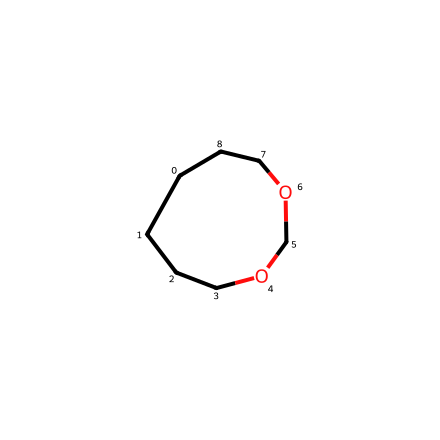 C1CCCOCOCC1